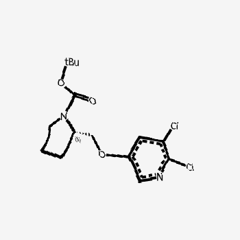 CC(C)(C)OC(=O)N1CCC[C@H]1COc1cnc(Cl)c(Cl)c1